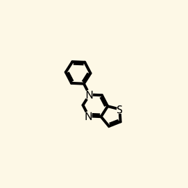 C1=c2sccc2=NCN1c1ccccc1